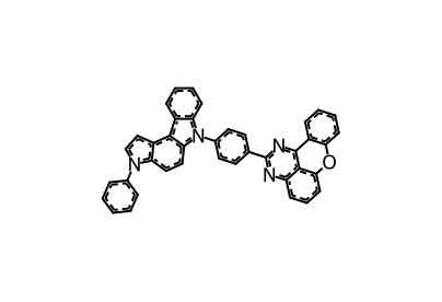 c1ccc(-n2ccc3c4c5ccccc5n(-c5ccc(-c6nc7c8c(cccc8n6)Oc6ccccc6-7)cc5)c4ccc32)cc1